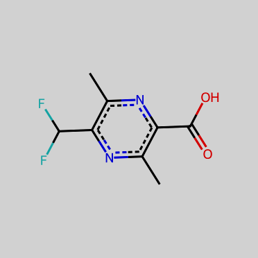 Cc1nc(C(F)F)c(C)nc1C(=O)O